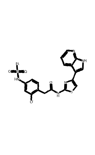 CCS(=O)(=O)Nc1ccc(CC(=O)Nc2nc(-c3c[nH]c4ncccc34)cs2)c(Cl)c1